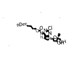 C#C[C@]1(CO)O[C@@H](n2ccc3c(NC(=O)OCCCCCCCCCCCCCC)nc(Cl)nc32)C[C@@H]1O